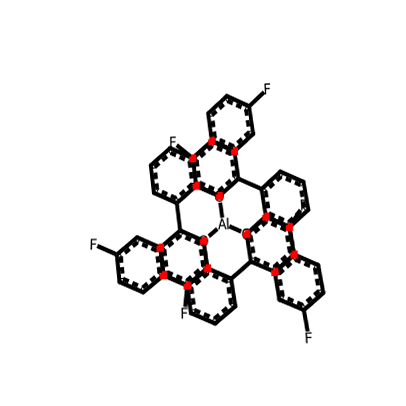 Fc1ccc(-c2cccc(-c3ccc(F)cc3)c2[O][Al]([O]c2c(-c3ccc(F)cc3)cccc2-c2ccc(F)cc2)[O]c2c(-c3ccc(F)cc3)cccc2-c2ccc(F)cc2)cc1